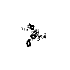 CC(=O)OCC(=O)Nc1cc(OCc2ccccc2)ccc1S(=O)(=O)Nc1ccc2c(c1)B(O)OC2